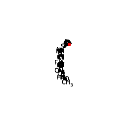 CC(=O)NC[C@H]1CN(c2ccc(N3CCC(n4nnc(SCc5ccccc5)n4)CC3)c(F)c2)C(=O)O1